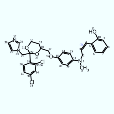 CN(C/C=C\c1ccccc1O)c1ccc(OCC2CCOC(Cn3ccnc3)(c3ccc(Cl)cc3Cl)O2)cc1